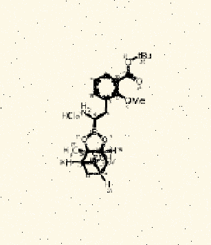 COc1c(C[C@H](N)B2O[C@@H]3C[C@@H]4C[C@@H](C4(C)C)[C@]3(C)O2)cccc1C(=O)OC(C)(C)C.Cl